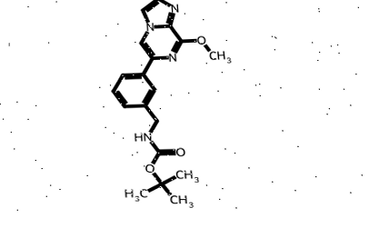 COc1nc(-c2cccc(CNC(=O)OC(C)(C)C)c2)cn2ccnc12